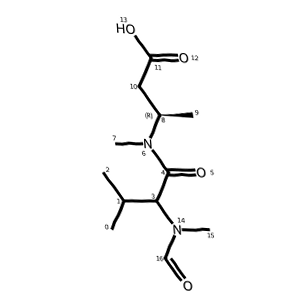 CC(C)C(C(=O)N(C)[C@H](C)CC(=O)O)N(C)C=O